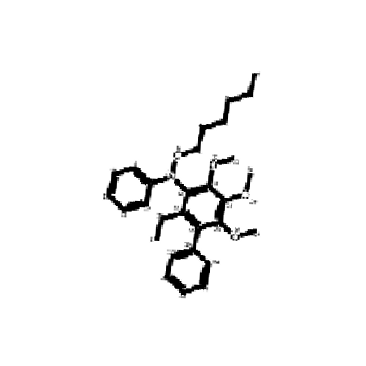 CCCCCCON(c1ccccc1)c1c(CC)c(-c2ccccc2)c(OC)c(OC)c1OC